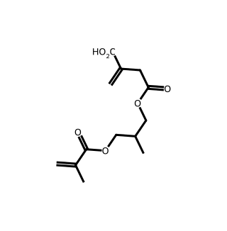 C=C(C)C(=O)OCC(C)COC(=O)CC(=C)C(=O)O